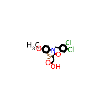 COc1ccc2c(c1)SC(CC(=O)O)C(=O)N2Cc1ccc(Cl)c(Cl)c1